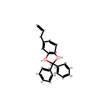 C=CCc1ccc2c(c1)OC(c1ccccc1)(c1ccccc1)O2